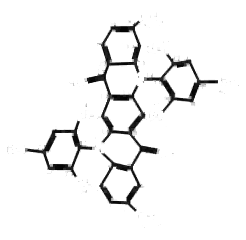 Cc1ccc2c(c1)c(=O)c1cc3c(cc1n2-c1c(C(C)(C)C)cc(C(C)(C)C)cc1C(C)(C)C)c(=O)c1ccc(C)cc1n3-c1c(C(C)(C)C)cc(C(C)(C)C)cc1C(C)(C)C